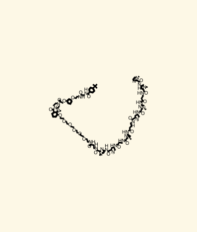 COc1c(OCCOCCOCCOCCOCCOCCNC(=O)CCNC(=O)c2nc(NC(=O)C3CC(NC(=O)CCNC(=O)c4nc(NC(=O)CCCNC(=O)C5CC(NC(=O)c6nc(NC(=O)CCNC(=O)c7cc(NC(=O)c8nccn8C)cn7C)cn6C)CN5C)cn4C)CN3C)cn2C)cccc1C(=O)N1CCN(C(=O)COc2cccc(OCCNC(=O)CNC(=O)c3ccc(C(C)(C)C)cc3)c2)CC1